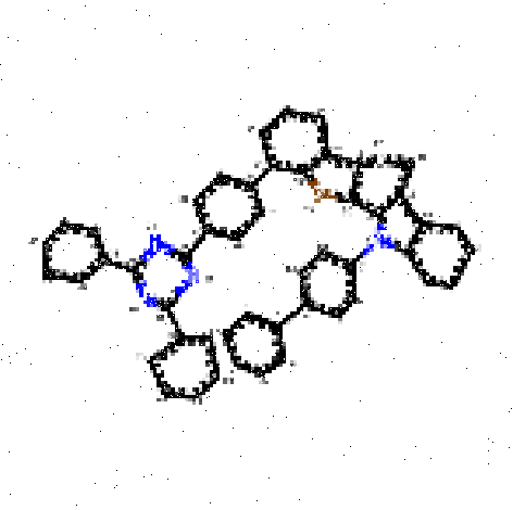 c1ccc(-c2ccc(-n3c4ccccc4c4ccc5c6cccc(-c7ccc(-c8nc(-c9ccccc9)nc(-c9ccccc9)n8)cc7)c6sc5c43)cc2)cc1